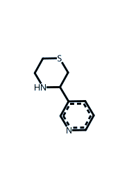 c1cncc(C2CSCCN2)c1